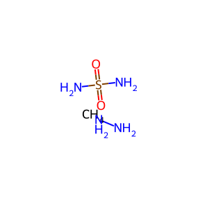 C.NN.NS(N)(=O)=O